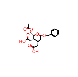 CC(=O)OC[C@@H]1O[C@@H](OCc2ccccc2)C[C@H](CC(=O)O)[C@@H]1CC(=O)O